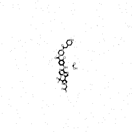 O=C(CC1CCNCC1)N1CCN(C(=O)c2ccc(Nc3nccn4c(-c5cn(CC(F)F)nc5C(F)(F)F)cnc34)cc2Cl)CC1.O=CO